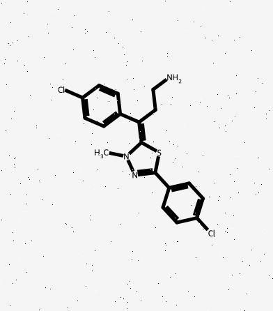 CN1N=C(c2ccc(Cl)cc2)SC1=C(CCN)c1ccc(Cl)cc1